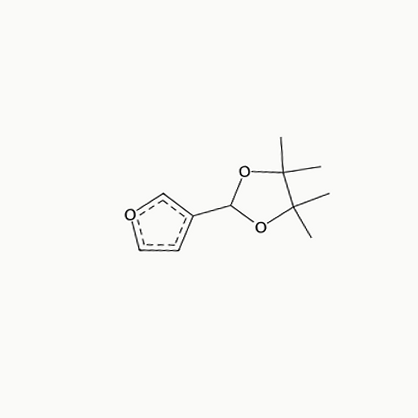 CC1(C)OC(c2ccoc2)OC1(C)C